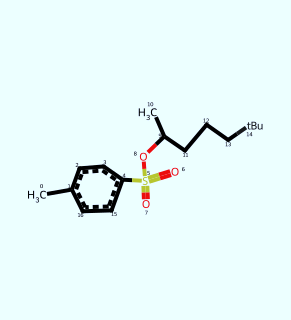 Cc1ccc(S(=O)(=O)OC(C)CCCC(C)(C)C)cc1